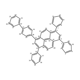 c1ccc(-c2cc(-c3ccccc3)c3ccc4c(-c5ccc(-c6cccnc6)cc5)cc(-c5ccccc5)c5ccc2c3c54)cc1